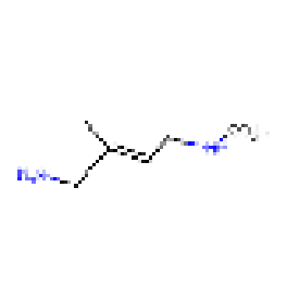 C/C(=C\CNC(=O)O)CN